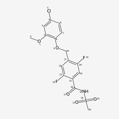 COc1cc(Cl)ccc1OCc1cc(F)c(C(=O)NS(C)(=O)=O)cc1F